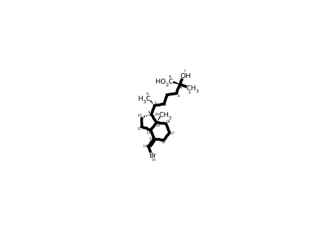 C[C@H](CCC[C@@](C)(O)C(=O)O)[C@H]1CCC2/C(=C/Br)CCC[C@@]21C